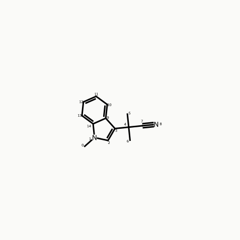 Cn1cc(C(C)(C)C#N)c2ccccc21